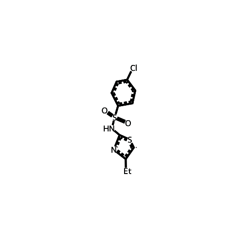 CCc1[c]sc(NS(=O)(=O)c2ccc(Cl)cc2)n1